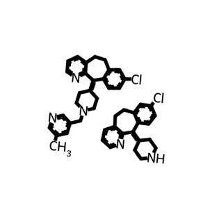 Cc1cncc(CN2CCC(=C3c4ccc(Cl)cc4CCc4cccnc43)CC2)c1.Clc1ccc2c(c1)CCc1cccnc1C2=C1CCNCC1